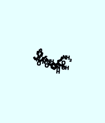 CCN(C(=O)c1csc(NC(=O)c2ccc3[nH]c(C(=O)O)c(CCCN)c3c2)n1)N1CCN(C)CC1